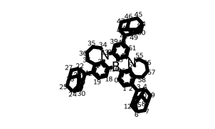 c1cc(C2C3CC4CC(C3)CC2C4)c2c3c1B1c4ccc(C5C6CC7CC(C6)CC5C7)c5c4N(CCCC5)c4cc(C5C6CC7CC(C6)CC5C7)cc(c41)N3CCCC2